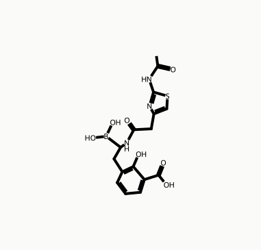 CC(=O)Nc1nc(CC(=O)NC(Cc2cccc(C(=O)O)c2O)B(O)O)cs1